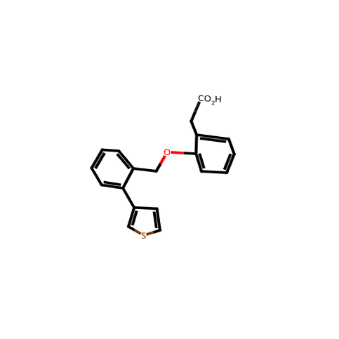 O=C(O)Cc1ccccc1OCc1ccccc1-c1ccsc1